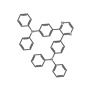 c1ccc(N(c2ccccc2)c2ccc(-c3nccnc3-c3ccc(N(c4ccccc4)c4ccccc4)cc3)cc2)cc1